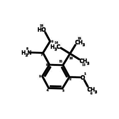 COc1cccc(C(N)CO)c1C(C)(C)C